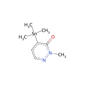 Cn1ncc[c]([Sn]([CH3])([CH3])[CH3])c1=O